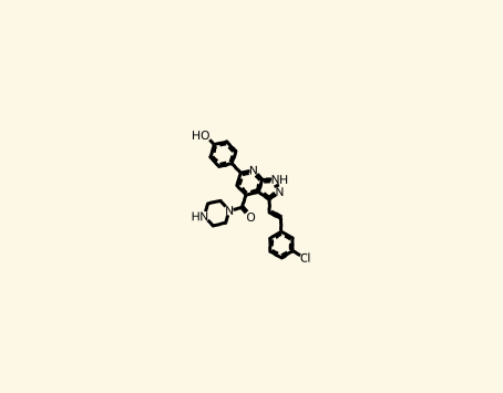 O=C(c1cc(-c2ccc(O)cc2)nc2[nH]nc(/C=C/c3cccc(Cl)c3)c12)N1CCNCC1